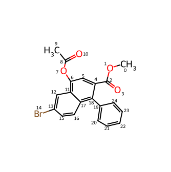 COC(=O)c1cc(OC(C)=O)c2cc(Br)ccc2c1-c1ccccc1